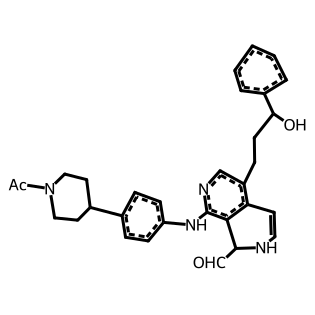 CC(=O)N1CCC(c2ccc(Nc3ncc(CCC(O)c4ccccc4)c4c3C(C=O)NC=C4)cc2)CC1